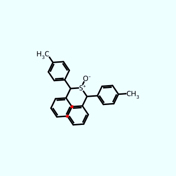 Cc1ccc(C(c2ccccc2)[S+]([O-])C(c2ccccc2)c2ccc(C)cc2)cc1